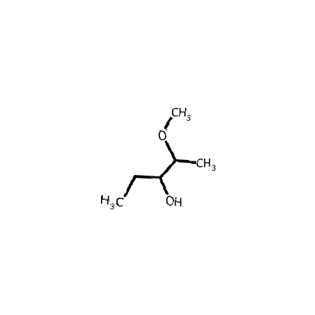 CCC(O)C(C)OC